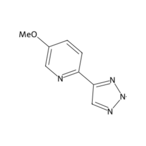 COc1ccc(C2=N[N]N=C2)nc1